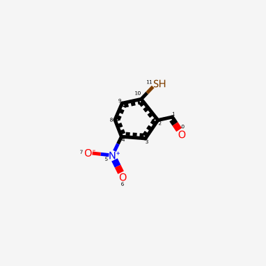 O=Cc1cc([N+](=O)[O-])ccc1S